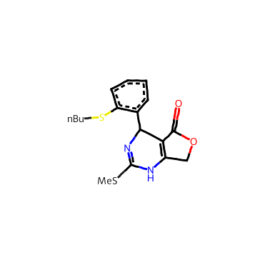 CCCCSc1ccccc1C1N=C(SC)NC2=C1C(=O)OC2